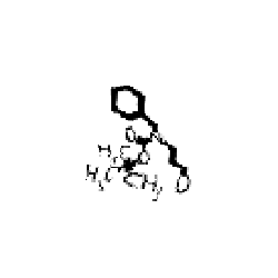 CC(C)(C)OC(=O)N(CCC=O)CC1CCCCC1